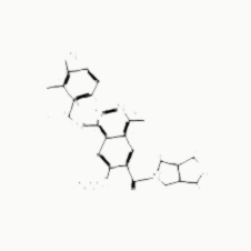 CNc1cc2c(N[C@H](C)c3cccc(C#N)c3C)nnc(C)c2cc1C(=O)N1CC2COCC2C1